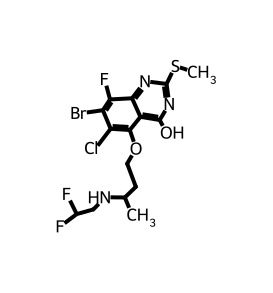 CSc1nc(O)c2c(OCCC(C)NCC(F)F)c(Cl)c(Br)c(F)c2n1